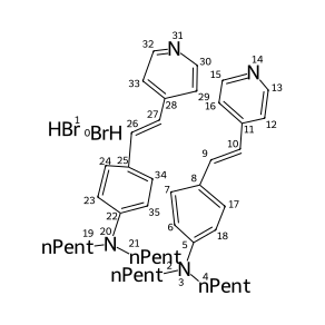 Br.Br.CCCCCN(CCCCC)c1ccc(C=Cc2ccncc2)cc1.CCCCCN(CCCCC)c1ccc(C=Cc2ccncc2)cc1